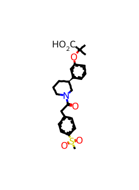 CC(C)(Oc1cccc([C@@H]2CCCN(C(=O)Cc3ccc(S(C)(=O)=O)cc3)C2)c1)C(=O)O